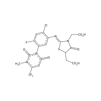 Cn1c(C(F)(F)F)cc(=O)n(-c2cc(N=C3SC(CC(=O)O)C(=O)N3CC(=O)O)c(Cl)cc2F)c1=O